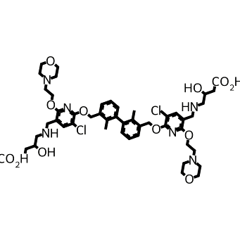 Cc1c(COc2nc(OCCN3CCOCC3)c(CNCC(O)CC(=O)O)cc2Cl)cccc1-c1cccc(COc2nc(OCCN3CCOCC3)c(CNCC(O)CC(=O)O)cc2Cl)c1C